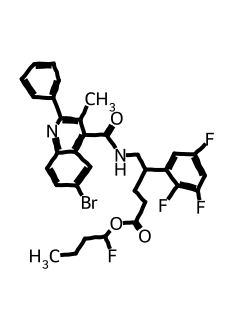 CCCC(F)OC(=O)CCC(CNC(=O)c1c(C)c(-c2ccccc2)nc2ccc(Br)cc12)c1cc(F)cc(F)c1F